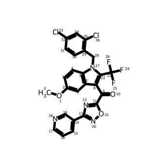 COc1ccc2c(c1)c(C(=O)c1nc(-c3cccnc3)no1)c(C(F)(F)F)n2Cc1ccc(Cl)cc1Cl